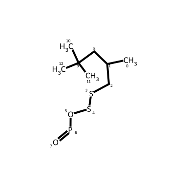 CC(CSSOP=O)CC(C)(C)C